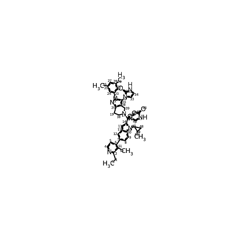 CCc1nccc(-c2ccc3c(c2)cc(C(=O)N2CCc4nn(-c5cc(C)cc(C)c5)c(-n5cc[nH]c5=O)c4C2)n3[C@@]2(c3noc(=O)[nH]3)C[C@@H]2C)c1C